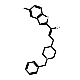 Cc1ccc2sc(C(O)=CCC3CCN(Cc4ccccc4)CC3)cc2c1